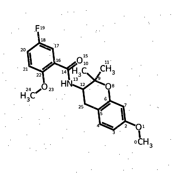 COc1ccc2c(c1)OC(C)(C)C(NC(=O)c1cc(F)ccc1OC)C2